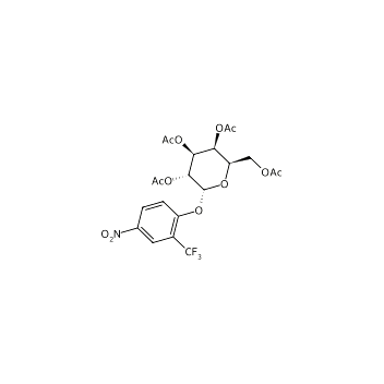 CC(=O)OC[C@H]1O[C@H](Oc2ccc([N+](=O)[O-])cc2C(F)(F)F)[C@H](OC(C)=O)[C@@H](OC(C)=O)[C@H]1OC(C)=O